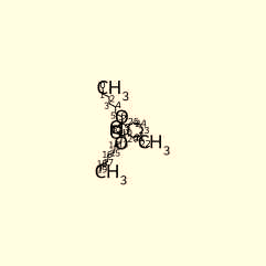 CCCCCCOC(=O)C1=C(C(=O)OCCCCCC)C=C(C)CC=C1